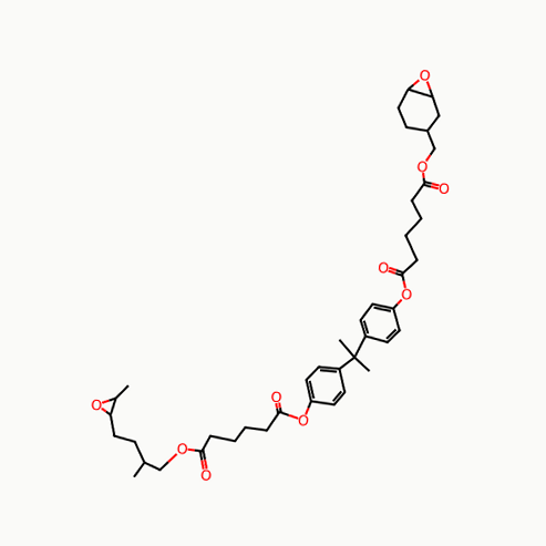 CC(CCC1OC1C)COC(=O)CCCCC(=O)Oc1ccc(C(C)(C)c2ccc(OC(=O)CCCCC(=O)OCC3CCC4OC4C3)cc2)cc1